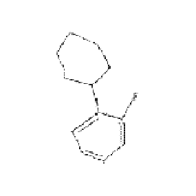 Fc1c[c]ccc1C1CCCCC1